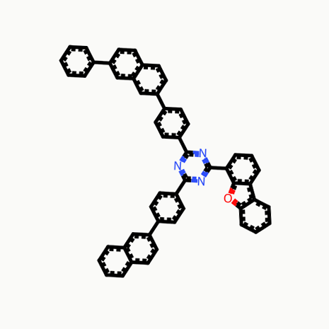 c1ccc(-c2ccc3ccc(-c4ccc(-c5nc(-c6ccc(-c7ccc8ccccc8c7)cc6)nc(-c6cccc7c6oc6ccccc67)n5)cc4)cc3c2)cc1